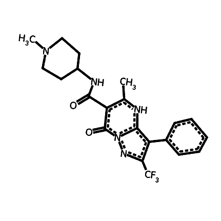 Cc1[nH]c2c(-c3ccccc3)c(C(F)(F)F)nn2c(=O)c1C(=O)NC1CCN(C)CC1